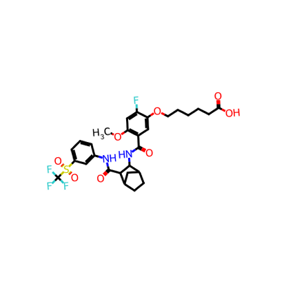 COc1cc(F)c(OCCCCCC(=O)O)cc1C(=O)NC1C2CCC(C2)C1C(=O)Nc1cccc(S(=O)(=O)C(F)(F)F)c1